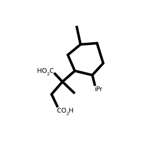 CC1CCC(C(C)C)C(C(C)(CC(=O)O)C(=O)O)C1